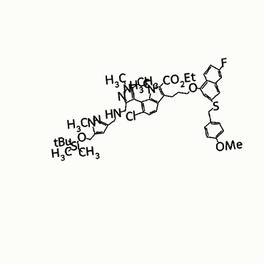 CCOC(=O)c1c(CCCOc2cc(SCc3ccc(OC)cc3)cc3cc(F)ccc23)c2ccc(Cl)c(-c3c(CNCc4cc(CO[Si](C)(C)C(C)(C)C)n(C)n4)nn(C)c3C)c2n1C